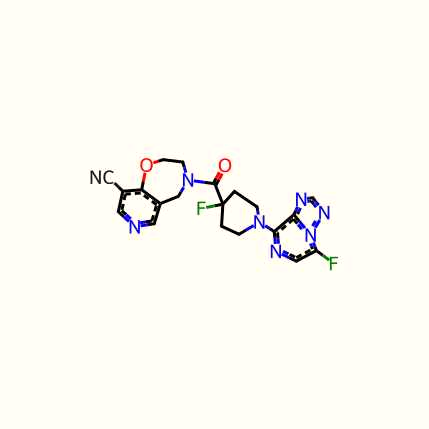 N#Cc1cncc2c1OCCN(C(=O)C1(F)CCN(c3ncc(F)n4ncnc34)CC1)C2